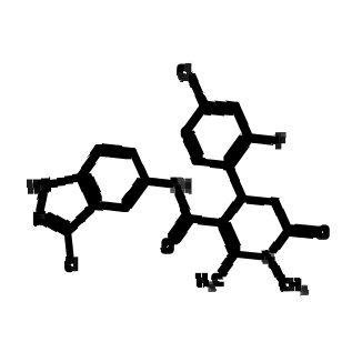 CC1=C(C(=O)Nc2ccc3[nH]nc(Cl)c3c2)C(c2ccc(Cl)cc2F)CC(=O)N1C